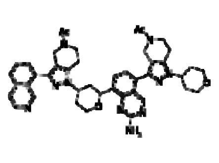 CC(=O)N1CCc2c(c(-c3cccc4ccncc34)nn2C2CCOC(c3ccc(-c4nn(C5CCOCC5)c5c4CN(C(C)=O)CC5)c4cnc(N)nc34)C2)C1